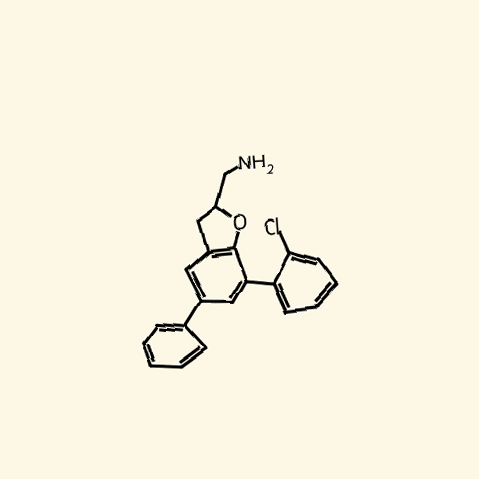 NCC1Cc2cc(-c3ccccc3)cc(-c3ccccc3Cl)c2O1